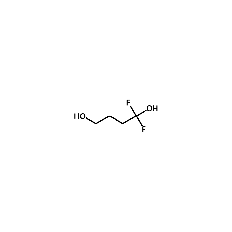 OCCCC(O)(F)F